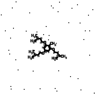 [CH2]c1c(OCCN(C)C)cc(OCCN(C)C)cc1OCCN(C)C